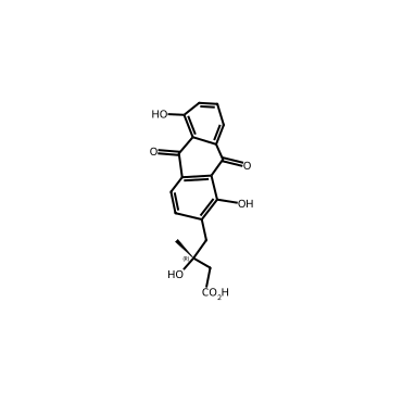 C[C@](O)(CC(=O)O)Cc1ccc2c(c1O)C(=O)c1cccc(O)c1C2=O